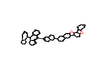 c1ccc2c(-c3c4ccccc4c(-c4ccc5cc(-c6ccc7cc8c(cc7c6)oc6c8ccc7oc8ccccc8c76)ccc5c4)c4ccccc34)cccc2c1